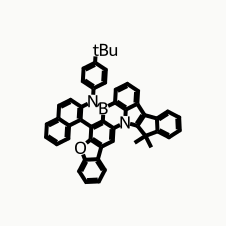 CC(C)(C)c1ccc(N2B3c4c(cc5c(oc6ccccc65)c4-c4c2ccc2ccccc42)-n2c4c(c5cccc3c52)-c2ccccc2C4(C)C)cc1